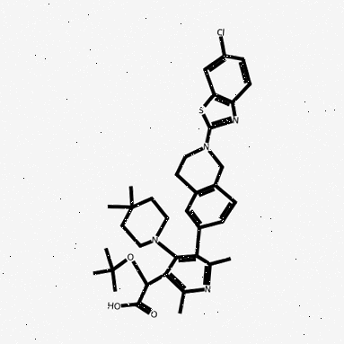 Cc1nc(C)c(C(OC(C)(C)C)C(=O)O)c(N2CCC(C)(C)CC2)c1-c1ccc2c(c1)CCN(c1nc3ccc(Cl)cc3s1)C2